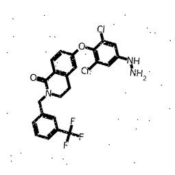 NNc1cc(Cl)c(Oc2ccc3c(c2)CCN(Cc2cccc(C(F)(F)F)c2)C3=O)c(Cl)c1